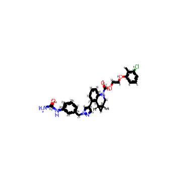 Cc1c(Cl)cccc1OCCOC(=O)N1C[C@@H]2C[C@@H]2c2c(-c3cnn(Cc4cccc(NC(N)=O)c4)c3)cccc21